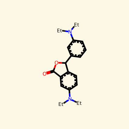 CCN(CC)c1cccc(C2OC(=O)c3cc(N(CC)CC)ccc32)c1